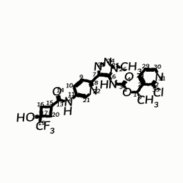 C[C@@H](OC(=O)Nc1c(-c2ccc(NC(=O)C3CC(O)(C(F)(F)F)C3)cn2)nnn1C)c1cccnc1Cl